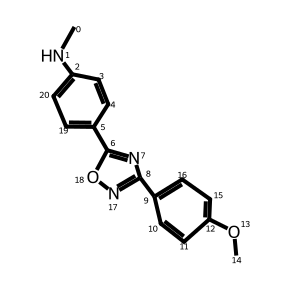 CNc1ccc(-c2nc(-c3ccc(OC)cc3)no2)cc1